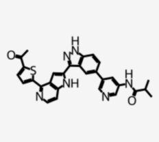 CC(=O)c1ccc(-c2nccc3[nH]c(-c4n[nH]c5ccc(-c6cncc(NC(=O)C(C)C)c6)cc45)cc23)s1